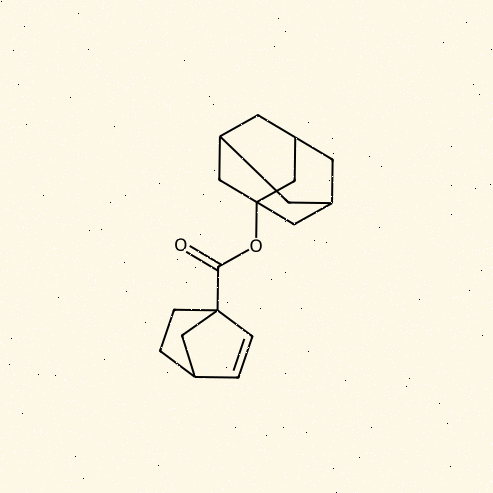 O=C(OC12CC3CC(CC(C3)C1)C2)C12C=CC(CC1)C2